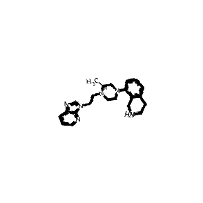 C[C@@H]1CN(c2cccc3c2CNCC3)CCN1CCn1cnc2cccnc21